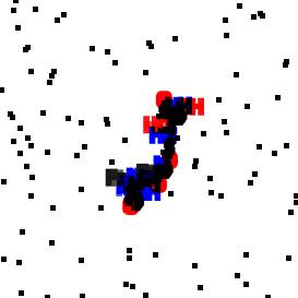 CCc1nc2c(cnn2CC)c(NC2CCOCC2)c1CNC(=O)c1ccc(OCCCCNC[C@H](O)c2ccc(O)c3[nH]c(=O)ccc23)nc1